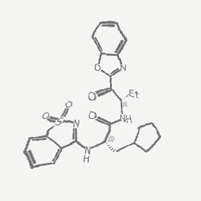 CC[C@H](NC(=O)[C@H](CC1CCCC1)NC1=NS(=O)(=O)c2ccccc21)C(=O)c1nc2ccccc2o1